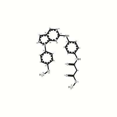 COC(=O)CC(=O)Nc1ccc(Nc2ncc3cnn(-c4ccc(OC)cc4)c3n2)cc1